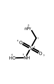 CCCCS(=O)(=O)NO